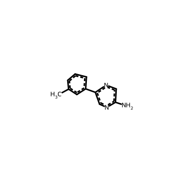 Cc1cccc(-c2cnc(N)cn2)c1